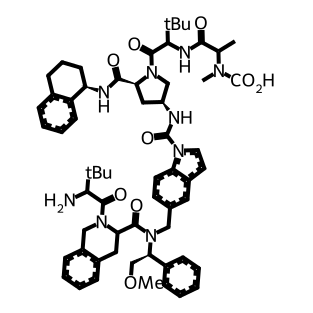 COC[C@H](c1ccccc1)N(Cc1ccc2c(ccn2C(=O)N[C@H]2C[C@@H](C(=O)N[C@@H]3CCCc4ccccc43)N(C(=O)C(NC(=O)C(C)N(C)C(=O)O)C(C)(C)C)C2)c1)C(=O)C1Cc2ccccc2CN1C(=O)C(N)C(C)(C)C